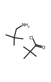 CC(C)(C)C(=O)Cl.CC(C)(C)CN